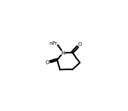 CCCN1C(=O)CCCC1=O